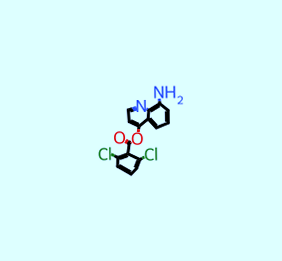 Nc1cccc2c(OC(=O)c3c(Cl)cccc3Cl)ccnc12